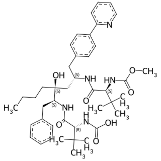 CCCC[C@](O)(C[C@H](Cc1ccc(-c2ccccn2)cc1)NC(=O)[C@@H](NC(=O)OC)C(C)(C)C)[C@H](Cc1ccccc1)NC(=O)[C@H](NC(=O)O)C(C)(C)C